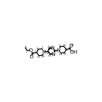 CCOC(=O)C1CCN(c2cnc(N3CCC(C(=O)O)CC3)nc2)CC1